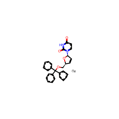 O=c1ccn([C@H]2C=C[C@@H](COC(c3ccccc3)(c3ccccc3)c3ccccc3)O2)c(=O)[nH]1.[Te]